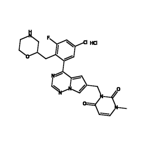 Cl.Cn1ccc(=O)n(Cc2cc3c(-c4cc(Cl)cc(F)c4CC4CNCCO4)ncnn3c2)c1=O